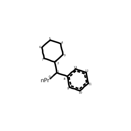 CCCC([C]1CCCCC1)c1ccccc1